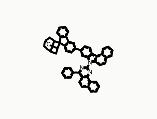 c1ccc(-c2nc(-n3c4cc(-c5ccc6c(c5)-c5ccccc5C65C6CC7CC8CC5C86C7)ccc4c4c5ccccc5ccc43)nc3c2ccc2ccccc23)cc1